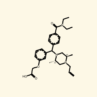 C=CCN1C[C@H](C)N(C(c2ccc(C(=O)N(CC)CC)cc2)c2cccc(OCC(=O)O)c2)C[C@H]1C